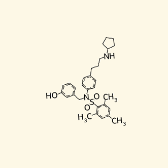 Cc1cc(C)c(S(=O)(=O)N(Cc2cccc(O)c2)c2ccc(CCCNC3CCCC3)cc2)c(C)c1